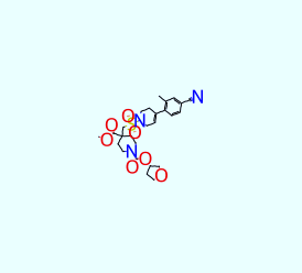 COC(=O)C1(CS(=O)(=O)N2CC=C(c3ccc(C#N)cc3C)CC2)CCN(C(=O)O[C@H]2CCOC2)CC1